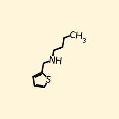 CCCCNCc1cccs1